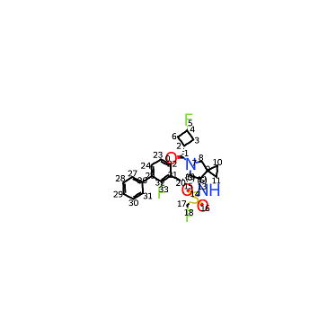 O=C([C@H]1C[C@@H](F)C1)N1CC2(CC2)[C@H](NS(=O)(=O)CF)[C@@H]1Cc1cccc(-c2ccccc2)c1F